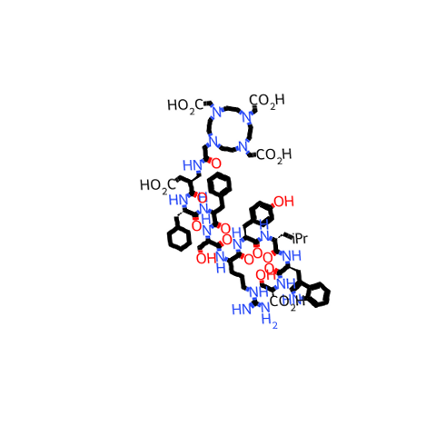 CC(C)C[C@@H](NC(=O)[C@H](Cc1ccc(O)cc1)NC(=O)C(CCCNC(=N)N)NC(=O)C(CO)NC(=O)C(Cc1ccccc1)NC(=O)[C@H](CC1CCCCC1)NC(=O)[C@H](CNC(=O)CN1CCN(CC(=O)O)CCN(CC(=O)O)CCN(CC(=O)O)CC1)CC(=O)O)C(=O)N[C@@H](Cc1c[nH]c2ccccc12)C(=O)N[C@@H](CO)C(=O)O